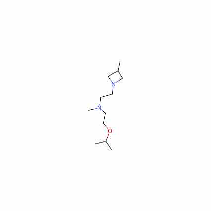 CC1CN(CCN(C)CCOC(C)C)C1